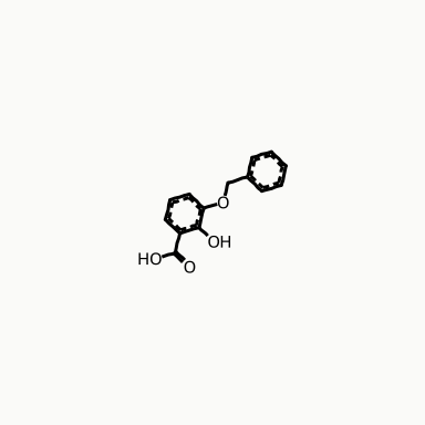 O=C(O)c1cccc(OCc2ccccc2)c1O